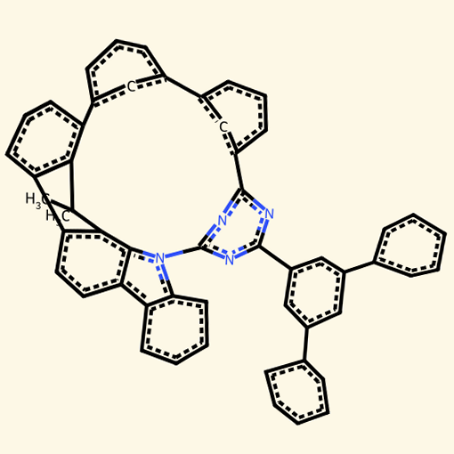 CC1(C)c2c3cccc2-c2ccc4c5ccccc5n(c4c21)-c1nc(nc(-c2cc(-c4ccccc4)cc(-c4ccccc4)c2)n1)-c1cccc(c1)-c1cccc-3c1